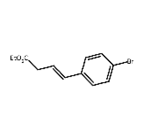 CCOC(=O)C/C=C/c1ccc(Br)cc1